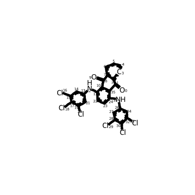 O=C1c2ccccc2C(=O)c2c(Nc3cc(Cl)c(Cl)c(Cl)c3)ccc(Nc3cc(Cl)c(Cl)c(Cl)c3)c21